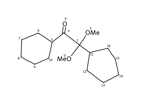 COC(OC)(C(=O)C1CCCCC1)C1CCCCC1